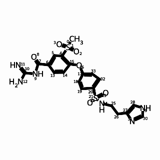 CS(=O)(=O)c1cc(C(=O)NC(=N)N)ccc1Oc1ccc(S(=O)(=O)NCCc2c[nH]cn2)cc1